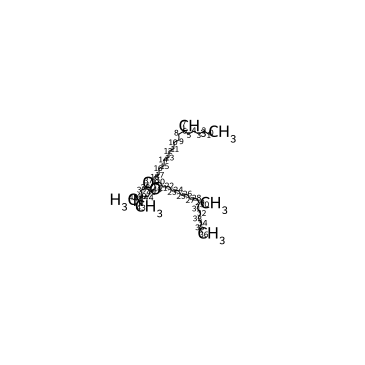 CCCCCCC(C)CCCCCCCCCCCC1(CCCCCCCCCC(C)CCCCCC)OC2CC(N(C)C)CC2O1